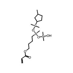 C=CC(=O)OCCCC[Si](C)(O[Si](C)(C)O)O[Si](C)(C)C1CCC(C)C1